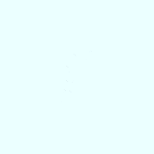 C=C/C=C\N(N)C(C)C(=O)N(C)CC(=O)N(CC)c1sc(-c2cccnc2)nc1Cl